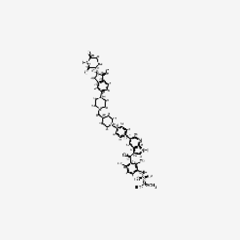 CC(C)N(C)S(=O)(=O)Nc1ccc(F)c(C(=O)c2c[nH]c3ncc(-c4ccc(N5CCC(CN6CCC(c7ccc8c(c7)CN([C@H]7CCC(=O)NC7=O)C8=O)CC6)CC5)cc4)cc23)c1F